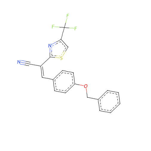 N#CC(=Cc1ccc(OCc2ccccc2)cc1)c1nc(C(F)(F)F)cs1